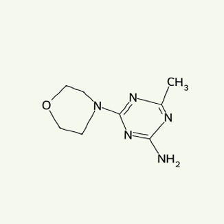 Cc1nc(N)nc(N2CCOCC2)n1